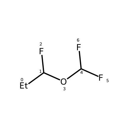 CCC(F)OC(F)F